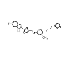 Cc1cc(OCc2coc(-c3cc4ccc(F)cc4[nH]3)n2)ccc1CCCCn1ccnn1